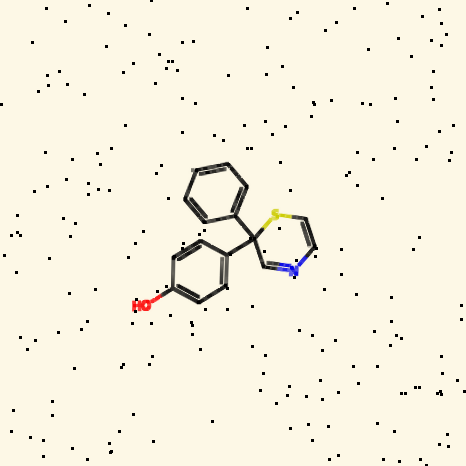 Oc1ccc(C2(c3cc[c]cc3)C=NC=CS2)cc1